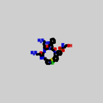 CN1C(=O)[C@H](CCCCN)NC(=O)[C@H](CCCN)NCc2cccnc2Sc2c(Cl)ccc(-c3ccc(S(=O)(=O)NCCO)cc3)c2CNC(=O)[C@@H]1Cc1c[nH]c2ccccc12